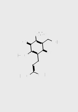 COC1=C(CO)C(=O)C(CC=C(C)C)=C(C)C1=O